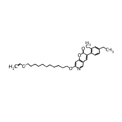 C=COCCCCCCCCCCCOc1cc2oc(=O)c(-c3ccc(CC)cc3C)cc2cn1